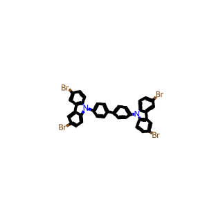 Brc1ccc2c(c1)c1cc(Br)ccc1n2-c1ccc(-c2ccc(-n3c4ccc(Br)cc4c4cc(Br)ccc43)cc2)cc1